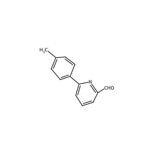 Cc1ccc(-c2cccc(C=O)n2)cc1